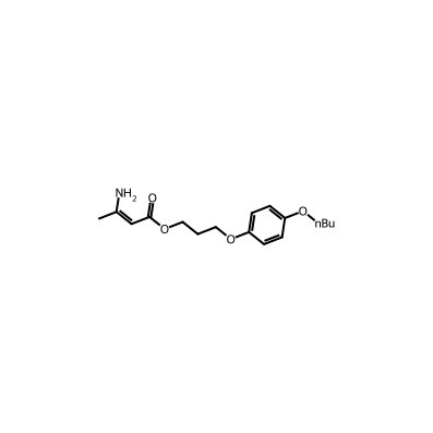 CCCCOc1ccc(OCCCOC(=O)/C=C(/C)N)cc1